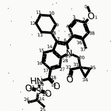 COc1ccc(-c2c(C3CCCCC3)c3ccc(C(=O)NS(=O)(=O)C(C)C)cc3n2CC2(C=O)CC2)c(C)c1